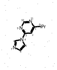 CC(C)c1cc(-n2ccnc2)ncn1